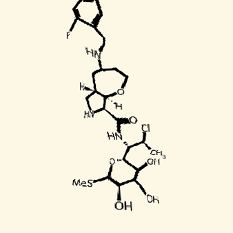 CSC1O[C@H]([C@H](NC(=O)[C@H]2NC[C@@H]3CC(NCc4ccccc4F)CCO[C@H]32)[C@H](C)Cl)C(O)C(O)[C@H]1O